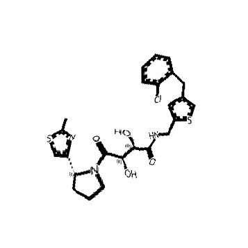 Cc1nc([C@H]2CCCN2C(=O)[C@H](O)[C@@H](O)C(=O)NCc2cc(Cc3ccccc3Cl)cs2)cs1